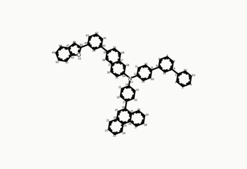 c1ccc(-c2cccc(-c3ccc(N(c4ccc(-c5cc6ccccc6c6ccccc56)cc4)c4ccc5cc(-c6cccc(-c7cc8ccccc8o7)c6)ccc5c4)cc3)c2)cc1